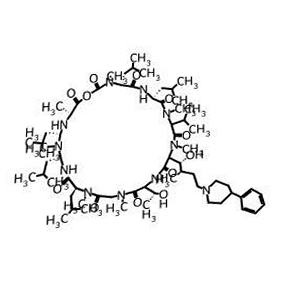 CC(C)C[C@@H]1C(=O)N[C@H](CC(C)C)C(=O)N(C)C(C(C)C)C(=O)N(C)C([C@H](O)[C@H](C)CCN2CCC(c3ccccc3)CC2)C(=O)NC([C@@H](C)O)C(=O)N(C)CC(=O)N(C)[C@@H](CC(C)C)C(=O)N[C@H](CC(C)C)N(C)[C@H](CC(C)C)N[C@H](C)C(=O)OC(=O)N1C